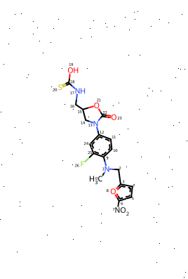 CN(Cc1ccc([N+](=O)[O-])o1)c1ccc(N2CC(CNC(O)=S)OC2=O)cc1F